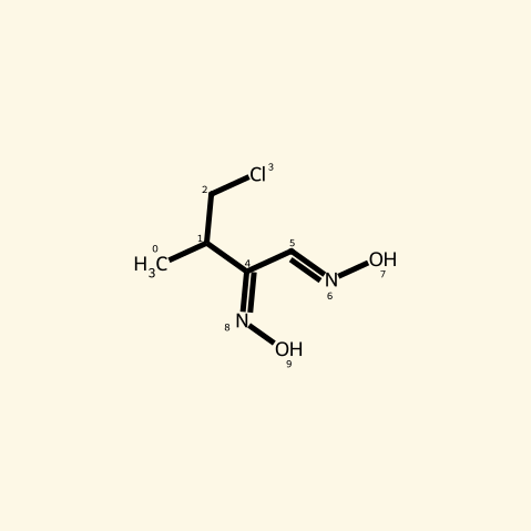 CC(CCl)C(C=NO)=NO